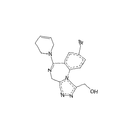 OCc1nnc2n1-c1ccc(Br)cc1C(N1CC=CCC1)=NC2